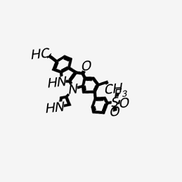 C#Cc1ccc2c(c1)[nH]c1c2c(=O)c2cc(CC)c(-c3cccc(S(=O)(=O)F)c3)cc2n1C1CNC1